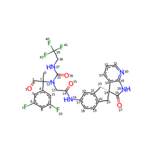 CC(C=O)(c1cc(F)cc(F)c1)N(CC(=O)Nc1ccc2c(c1)C[C@@]1(C2)C(=O)Nc2ncccc21)C(=O)NCC(F)(F)F